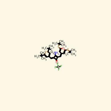 CC(C)(C)SC1=CC(=CC2=C(N)C(=Cc3cc(C(C)(C)C)[s+]c(C(C)(C)C)c3)C2=O)C=C(SC(C)(C)C)O1.F[B-](F)(F)F